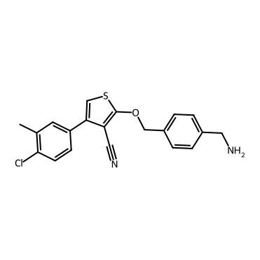 Cc1cc(-c2csc(OCc3ccc(CN)cc3)c2C#N)ccc1Cl